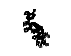 CC(C)(C)C(=O)n1ncc2cc(Nc3ccc(F)c(Cl)c3)c(Cl)nc21